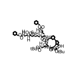 CN1C(=O)[C@H](CCCNC(=O)OC(C)(C)C)NC(=O)[C@@H](NC(=O)OC(C)(C)C)Cc2cc(ccc2O)-c2cccc(c2)C[C@H]1C(=O)N[C@@H](CCCNC(=O)OCc1ccccc1)C(=O)NCCC[C@@H](CC(=O)NCCNC(=O)OCc1ccccc1)NC(=O)O